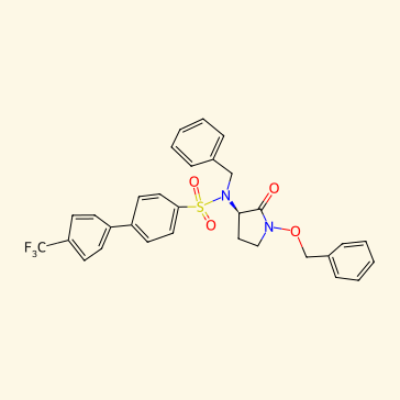 O=C1[C@H](N(Cc2ccccc2)S(=O)(=O)c2ccc(-c3ccc(C(F)(F)F)cc3)cc2)CCN1OCc1ccccc1